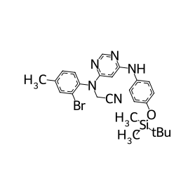 Cc1ccc(N(CC#N)c2cc(Nc3ccc(O[Si](C)(C)C(C)(C)C)cc3)ncn2)c(Br)c1